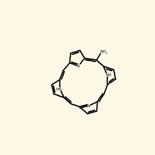 Nc1c2nc(cc3ccc(cc4nc(cc5ccc1[nH]5)C=C4)[nH]3)C=C2